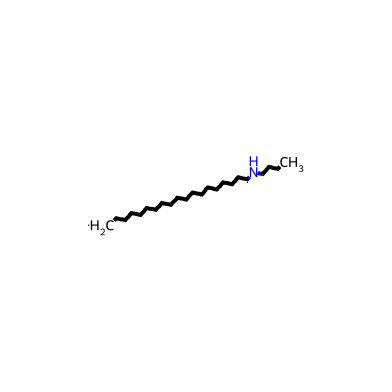 [CH2]CCCCCCCCCCCCCCCCC[CH]NCCCC